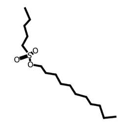 CCCCCCCCCCCOS(=O)(=O)CCCCC